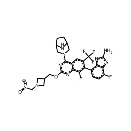 Nc1nc2c(-c3c(C(F)(F)F)cc4c(N5CC6CCC(C5)N6)nc(OCC5CN(C[SH](=O)=O)C5)nc4c3F)ccc(F)c2s1